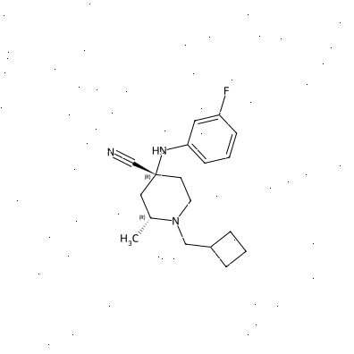 C[C@@H]1C[C@](C#N)(Nc2cccc(F)c2)CCN1CC1CCC1